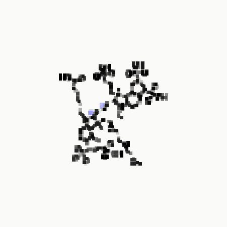 CC[N+]1=C(/C=C/C=C2/N(CCCCCC(=O)O)c3ccc4c(S(=O)(=O)[O-])cc(S(=O)(=O)O)cc4c3C2(C)CCOCCOCCOC)C(C)(CCCS(=O)(=O)O)c2c1ccc1c(S(=O)(=O)O)cc(S(=O)(=O)O)cc21